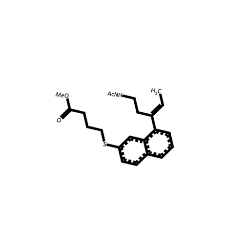 CC=C(CCNC(C)=O)c1cccc2ccc(SCCCC(=O)OC)cc12